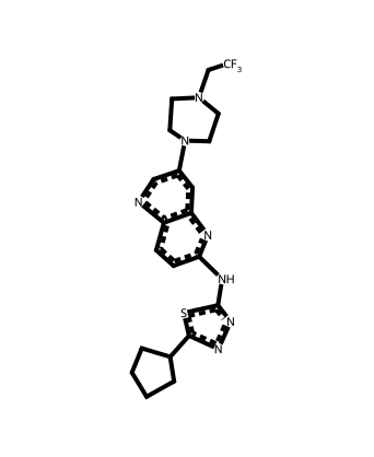 FC(F)(F)CN1CCN(c2cnc3ccc(Nc4nnc(C5CCCC5)s4)nc3c2)CC1